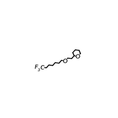 FC(F)(F)CCCCCCOCCC1CCCCO1